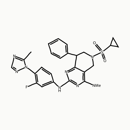 CNc1nc(Nc2ccc(-n3ncnc3C)c(F)c2)nc2c1CN(S(=O)(=O)C1CC1)CC2c1ccccc1